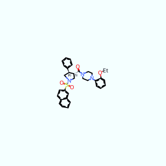 CCOc1ccccc1N1CCN(C(=O)[C@@H]2CN(S(=O)(=O)c3ccc4ccccc4c3)C[C@H]2c2ccccc2)CC1